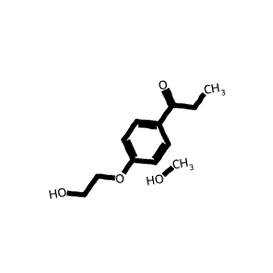 CCC(=O)c1ccc(OCCO)cc1.CO